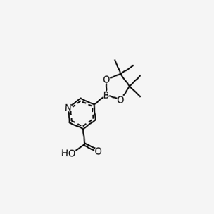 CC1(C)OB(c2cncc(C(=O)O)c2)OC1(C)C